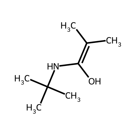 CC(C)=C(O)NC(C)(C)C